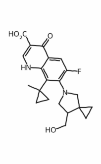 CC1(c2c(N3CC(CO)C4(CC4)C3)c(F)cc3c(=O)c(C(=O)O)c[nH]c23)CC1